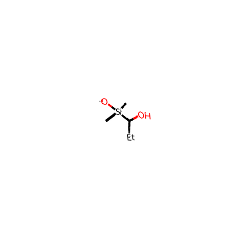 CCC(O)[Si](C)(C)[O]